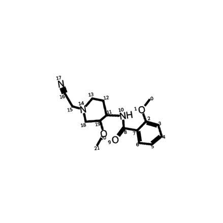 COc1ccccc1C(=O)NC1CCN(CC#N)CC1OC